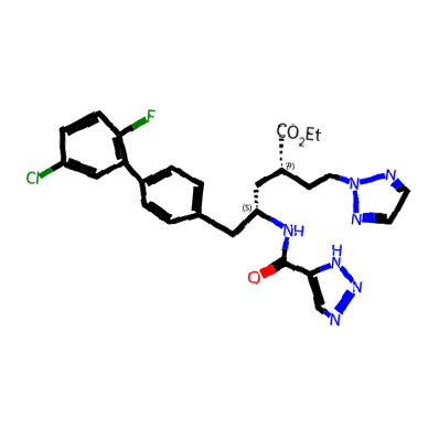 CCOC(=O)[C@H](CCn1nccn1)C[C@@H](Cc1ccc(-c2cc(Cl)ccc2F)cc1)NC(=O)c1cnn[nH]1